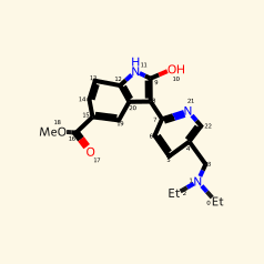 CCN(CC)Cc1ccc(-c2c(O)[nH]c3ccc(C(=O)OC)cc23)nc1